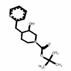 CC(C)(C)OC(=O)N1CCC(Cc2ccccn2)C(O)C1